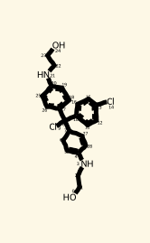 OCCNC1=CCC(C(Cl)(c2ccc(Cl)cc2)c2ccc(NCCO)cc2)C=C1